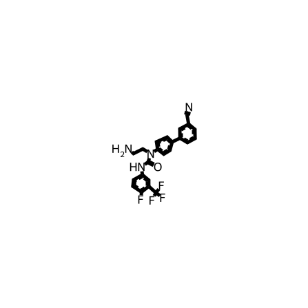 N#Cc1cccc(-c2ccc(N(CCN)C(=O)Nc3ccc(F)c(C(F)(F)F)c3)cc2)c1